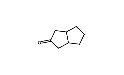 O=C1CC2C[CH]CC2C1